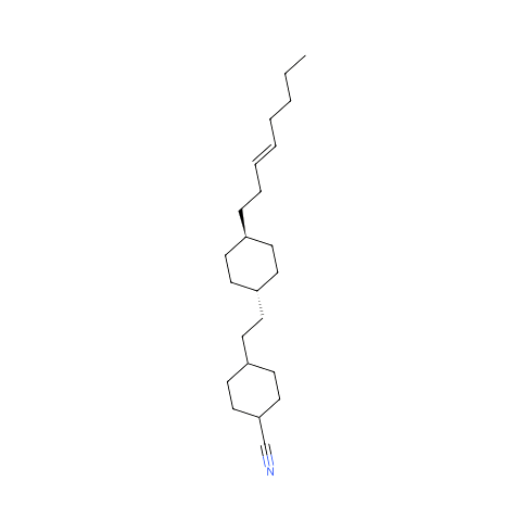 CCCC/C=C/CC[C@H]1CC[C@H](CCC2CCC(C#N)CC2)CC1